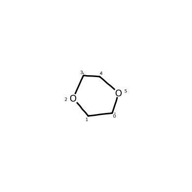 [CH]1CO[CH]CO1